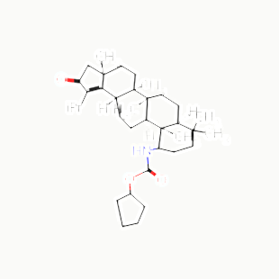 CC(C)C1=C2[C@H]3CC[C@@H]4[C@@]5(C)C(NC(=O)OC6CCCC6)CCC(C)(C)[C@@H]5CC[C@@]4(C)[C@]3(C)CC[C@@]2(C)CC1=O